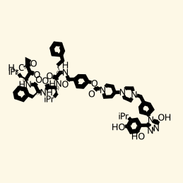 CC(C)C[C@H](NC(=O)[C@H](CCc1ccccc1)NC(=O)c1ccc(OC(=O)N2CCC(N3CCN(Cc4ccc(-n5c(O)nnc5-c5cc(C(C)C)c(O)cc5O)cc4)CC3)CC2)cc1)C(=O)N[C@@H](Cc1ccccc1)C(=O)N[C@@H](CC(C)C)C(=O)[C@@]1(C)CO1